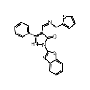 O=c1c(/C=N\Cc2cccs2)c(-c2ccccc2)[nH]n1-c1nc2ccccc2s1